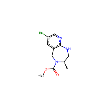 C[C@@H]1CNc2ncc(Br)cc2CN1C(=O)OC(C)(C)C